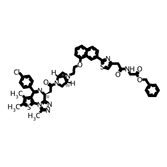 Cc1sc2c(c1C)C(c1ccc(Cl)cc1)=N[C@@H](CC(=O)N1C[C@@H]3C[C@H]1CN3CCOc1cccc3ccc(-c4nc(CC(=O)NCC(=O)OCc5ccccc5)cs4)cc13)c1nnc(C)n1-2